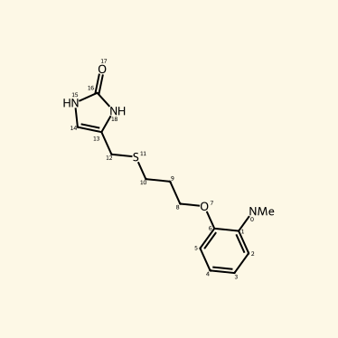 CNc1ccccc1OCCCSCc1c[nH]c(=O)[nH]1